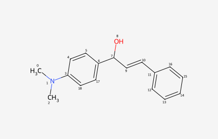 CN(C)c1ccc(C(O)C=Cc2ccccc2)cc1